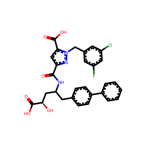 O=C(NC(Cc1ccc(-c2ccccc2)cc1)C[C@@H](O)C(=O)O)c1cc(C(=O)O)n(Cc2cc(F)cc(Cl)c2)n1